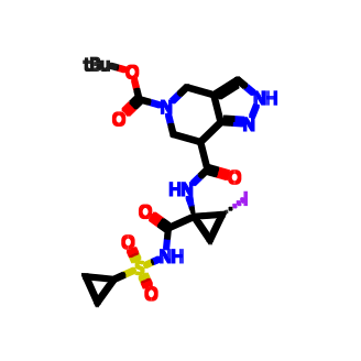 CC(C)(C)OC(=O)N1Cc2c[nH]nc2C(C(=O)N[C@]2(C(=O)NS(=O)(=O)C3CC3)C[C@H]2I)C1